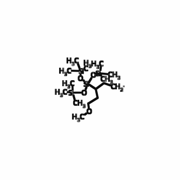 [CH2]CC(CCOC)[Si](O[Si](C)(C)C)(O[Si](C)(C)C)O[Si](C)(C)C